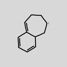 [C]1CCC=C2C=CC=CC2C1